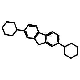 [c]1c(C2CCCCC2)ccc2c1Cc1cc(C3CCCCC3)ccc1-2